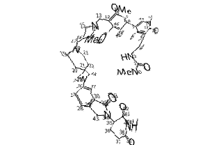 CNC(=O)NCc1cc(-c2cc(OC)c(CN3CC(CN4CCC5(CC4)CN(c4ccc6c(c4)C(=O)N(C4CCC(=O)NC4=O)C6)C5)C3)c(OC)c2)cn(C)c1=O